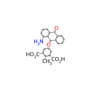 Cc1c(C(=O)O)cccc1C(=O)O.Nc1cccc2c1C(=O)c1ccccc1C2=O